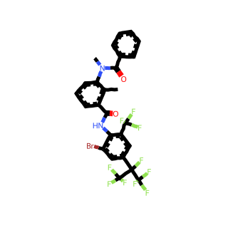 Cc1c(C(=O)Nc2c(Br)cc(C(F)(C(F)(F)F)C(F)(F)F)cc2C(F)(F)F)cccc1N(C)C(=O)c1ccccc1